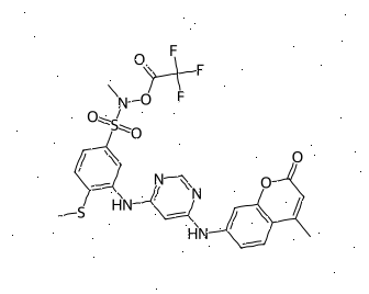 CSc1ccc(S(=O)(=O)N(C)OC(=O)C(F)(F)F)cc1Nc1cc(Nc2ccc3c(C)cc(=O)oc3c2)ncn1